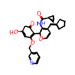 O=C1CC(O)=CC(OCc2cccnc2)=C1C1OC=CC(CC2CCCC2)=C1NC(=O)C1CC1